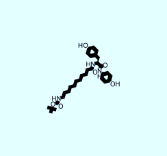 CC(C)(C)OC(=O)NCCCCCCCCCCC(=O)N[C@@H](Cc1ccc(O)cc1)C(=O)Nc1ccc(O)cc1